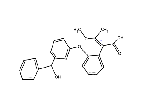 CO/C(C)=C(/C(=O)O)c1ccccc1Oc1cccc(C(O)c2ccccc2)c1